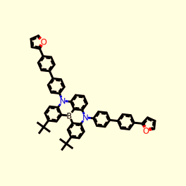 CC(C)(C)c1ccc2c(c1)B1c3cc(C(C)(C)C)ccc3N(c3ccc(-c4ccc(-c5ccco5)cc4)cc3)c3cccc(c31)N2c1ccc(-c2ccc(-c3ccco3)cc2)cc1